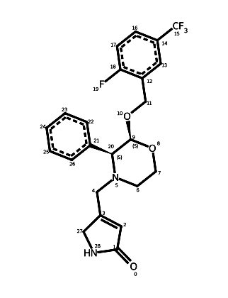 O=C1C=C(CN2CCO[C@H](OCc3cc(C(F)(F)F)ccc3F)[C@@H]2c2ccccc2)CN1